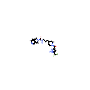 O=C(NCCCC1CCN(C(=O)c2cc(C(F)F)[nH]n2)CC1)N1Cc2ccncc2C1